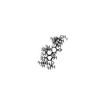 [2H]c1c(OC([2H])([2H])[2H])c(OC([2H])([2H])[2H])c([2H])c2c1C1([2H])CC(=O)C(C([2H])([2H])C([2H])(C([2H])([2H])[2H])C([2H])([2H])C)CN1C([2H])([2H])C2([2H])[2H]